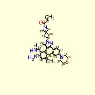 C=CC(=O)N1CC2(CC(n3nc(-c4ccc(N5CCSCC5)cc4)c(-c4c(Cl)c(C)cc(N)c4C=N)c3C)C2)C1